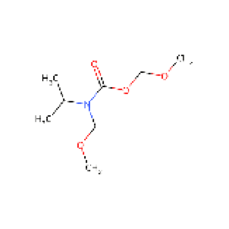 COCOC(=O)N(COC)C(C)C